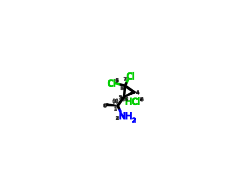 C[C@H](N)[C@@H]1CC1(Cl)Cl.Cl